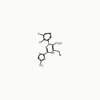 CCOC(=O)C1=C(CBr)NC(c2nc(C)cs2)=N[C@H]1c1cccc(F)c1Cl